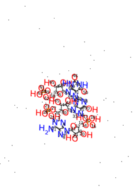 Nc1ncnc2c1ncn2[C@@H]1O[C@H](COP(=O)(O)O)[C@@H](O)[C@H]1O.O=P(O)(O)OC[C@H]1O[C@@H](n2cnc3c(O)ncnc32)[C@H](O)[C@@H]1O.O=c1[nH]c(=O)c2ncn([C@@H]3O[C@H](COP(=O)(O)O)[C@@H](O)[C@H]3O)c2[nH]1